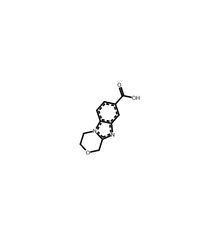 O=C(O)c1ccc2c(c1)nc1n2CCOC1